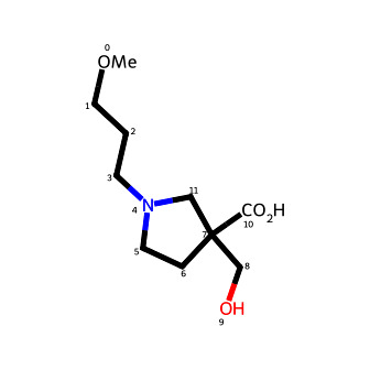 COCCCN1CCC(CO)(C(=O)O)C1